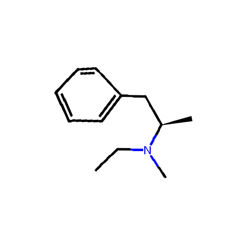 CCN(C)[C@H](C)Cc1ccccc1